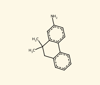 CC1(C)Cc2ccccc2-c2ccc(N)cc21